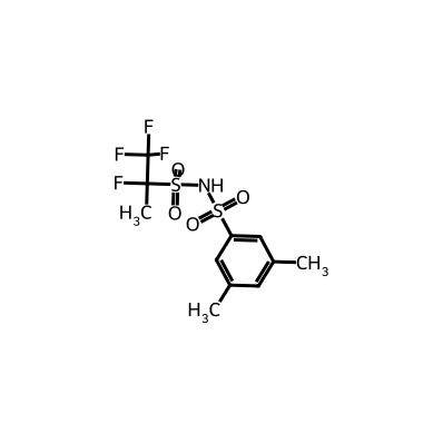 Cc1cc(C)cc(S(=O)(=O)NS(=O)(=O)C(C)(F)C(F)(F)F)c1